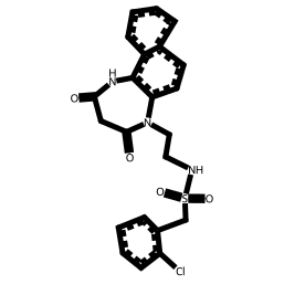 O=C1CC(=O)N(CCNS(=O)(=O)Cc2ccccc2Cl)c2ccc3ccccc3c2N1